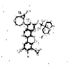 [2H]C([2H])(Oc1nc(N2CCOC[C@H]3[C@H](F)[C@H]32)c2cnc(-c3cc(N)c(F)c(C4CC4)c3C(F)(F)F)c(F)c2n1)[C@@]12CCCN1C[C@H](F)C2